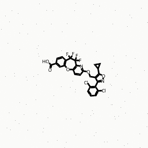 O=C(O)c1ccc2c(c1)Oc1ccc(OCc3c(-c4c(Cl)cccc4Cl)noc3C3CC3)nc1C(F)(F)C2(F)F